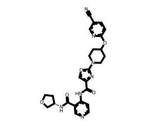 N#Cc1ccc(OC2CCN(c3nc(C(=O)Nc4ccncc4C(=O)N[C@H]4CCOC4)co3)CC2)nc1